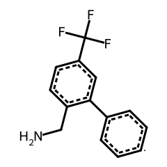 NCc1ccc(C(F)(F)F)cc1-c1cc[c]cc1